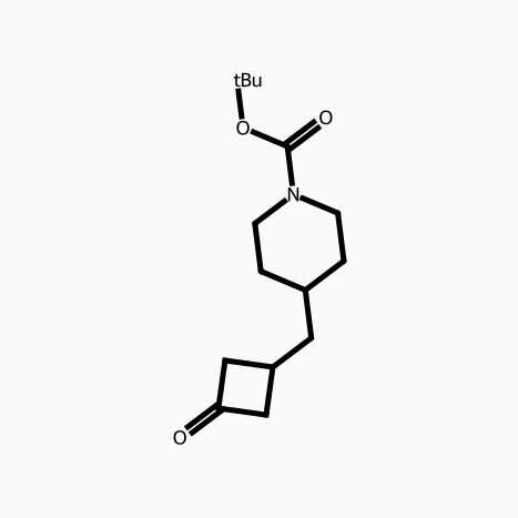 CC(C)(C)OC(=O)N1CCC(CC2CC(=O)C2)CC1